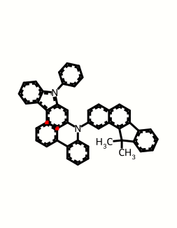 CC1(C)c2ccccc2-c2ccc3ccc(N(c4ccc5c6ccccc6n(-c6ccccc6)c5c4)c4ccccc4-c4ccccc4)cc3c21